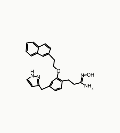 NC(CCc1ccc(Cc2cc[nH]n2)cc1OCCc1ccc2ccccc2c1)=NO